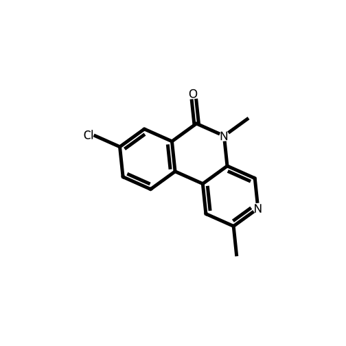 Cc1cc2c3ccc(Cl)cc3c(=O)n(C)c2cn1